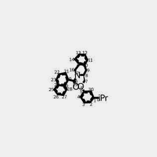 CC(C)c1cccc(OC[C@@H]2Cc3ccccc3CN2C(=O)c2cccc3ccccc23)c1